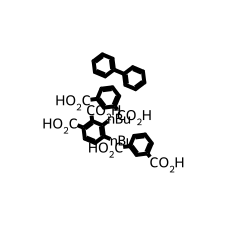 CCCCc1ccc(C(=O)O)c(C(=O)O)c1CCCC.O=C(O)c1cccc(C(=O)O)c1.O=C(O)c1cccc(C(=O)O)c1.c1ccc(-c2ccccc2)cc1